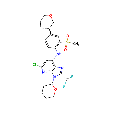 CS(=O)(=O)c1cc([C@H]2CCCOC2)ccc1Nc1cc(Cl)nc2c1nc(C(F)F)n2C1CCCCO1